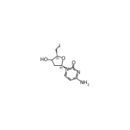 Nc1ccn([C@H]2CC(O)[C@@H](CI)O2)c(=O)n1